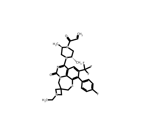 C=CC(=O)N1C[C@H](C)N(c2nc(=O)n3c4c(c(-c5ccc(F)cc5)c(C(F)(F)F)cc24)SCC2(CN(CC)C2)C3)C[C@H]1C